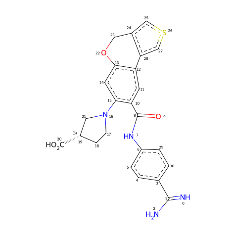 N=C(N)c1ccc(NC(=O)c2cc3c(cc2N2CC[C@H](C(=O)O)C2)OCc2cscc2-3)cc1